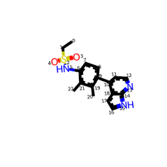 CCS(=O)(=O)Nc1ccc(-c2ccnc3[nH]ccc23)c(C)c1C